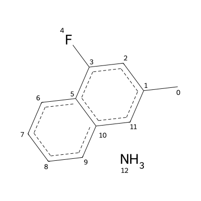 Cc1cc(F)c2ccccc2c1.N